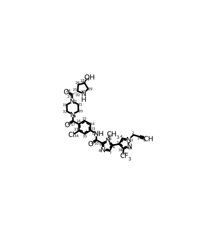 C#CCn1cc(-c2cnc(C(=O)Nc3ccc(C(=O)N4CCN(C(=O)[C@@H]5C[C@@H](O)CN5)CC4)c(Cl)c3)n2C)c(C(F)(F)F)n1